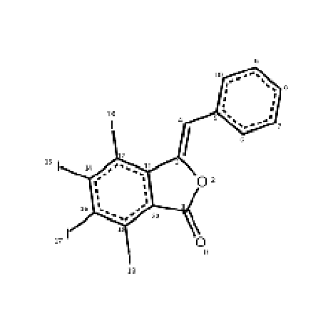 O=C1OC(=Cc2ccccc2)c2c(I)c(I)c(I)c(I)c21